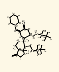 C=C1CC[C@H]2[C@H](CO[Si](C)(C)C(C)(C)C)[C@@H]([C@@]3(C)C/C(=C/N4CCCCC4)C(=O)C[C@@H]3CO[Si](C)(C)C(C)(C)C)CC[C@]12C